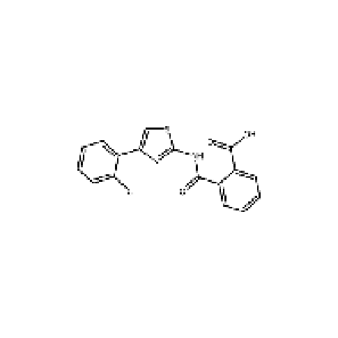 O=C(O)c1ccccc1C(=O)Nc1nc(-c2ccccc2Cl)cs1